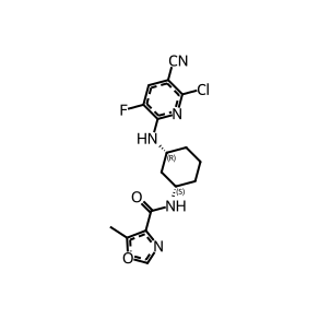 Cc1ocnc1C(=O)N[C@H]1CCC[C@@H](Nc2nc(Cl)c(C#N)cc2F)C1